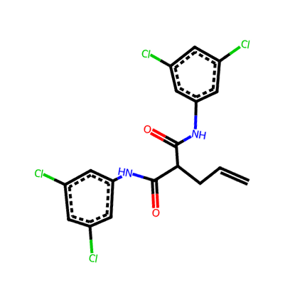 C=CCC(C(=O)Nc1cc(Cl)cc(Cl)c1)C(=O)Nc1cc(Cl)cc(Cl)c1